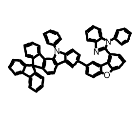 c1ccc(-n2c(-c3cccc4oc5ccc(-c6ccc7c(c6)c6ccc8c(c6n7-c6ccccc6)-c6ccccc6C86c7ccccc7-c7ccccc76)cc5c34)nc3ccccc32)cc1